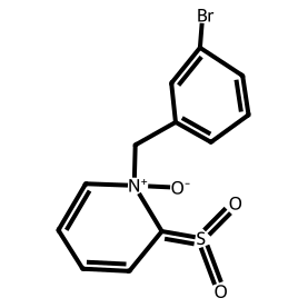 O=S(=O)=C1C=CC=C[N+]1([O-])Cc1cccc(Br)c1